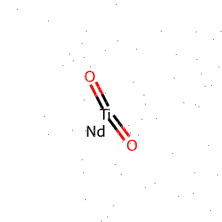 [Nd].[O]=[Ti]=[O]